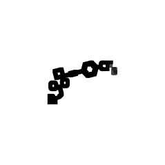 O=C(CBr)OC1(C#Cc2ccc(C(F)(F)F)cc2)CCC1